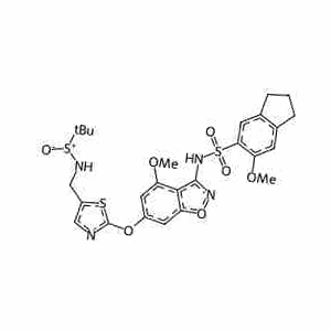 COc1cc2c(cc1S(=O)(=O)Nc1noc3cc(Oc4ncc(CN[S+]([O-])C(C)(C)C)s4)cc(OC)c13)CCC2